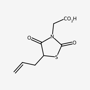 C=CCC1SC(=O)N(CC(=O)O)C1=O